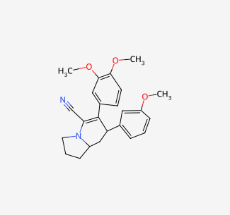 COc1cccc(C2CC3CCCN3C(C#N)=C2c2ccc(OC)c(OC)c2)c1